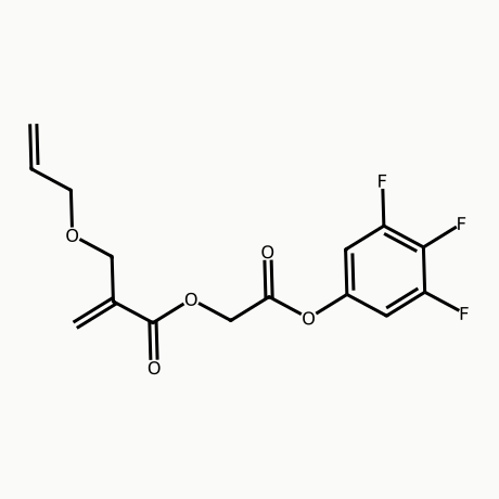 C=CCOCC(=C)C(=O)OCC(=O)Oc1cc(F)c(F)c(F)c1